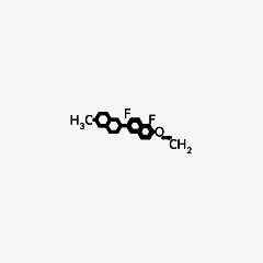 C=CCOc1ccc2cc(C3CCC4CC(C)CCC4C3)c(F)cc2c1F